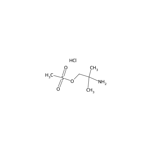 CC(C)(N)COS(C)(=O)=O.Cl